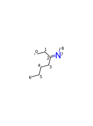 [CH2]C/C(CCCC)=N\C